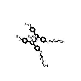 CCOc1ccc(C2=N/C(=N\c3c(-c4ccc(OCCOCCO)cc4)cc(-c4ccc(OCC)cc4)n3B(F)F)C(c3ccc(OCCOCCO)cc3)=C2)cc1